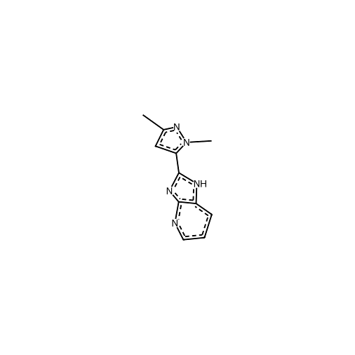 Cc1cc(-c2nc3ncccc3[nH]2)n(C)n1